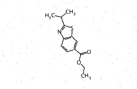 CCOC(=O)c1ccc2nc(C(C)C)sc2c1